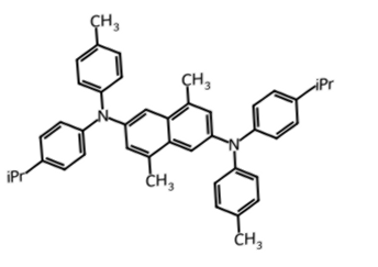 Cc1ccc(N(c2ccc(C(C)C)cc2)c2cc(C)c3cc(N(c4ccc(C)cc4)c4ccc(C(C)C)cc4)cc(C)c3c2)cc1